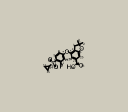 CC1(C)Cc2c(Oc3ccc(S(=O)(=O)C4CC4)c(F)c3)cc(C(=O)O)cc2O1